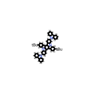 CC(C)(C)c1ccc2c3c4c5ccc(-n6c7ccccc7c7ccccc76)cc5n5c6cc(C(C)(C)C)ccc6c(c6c7ccc(-n8c9ccccc9c9ccccc98)cc7n(c2c1)c63)c45